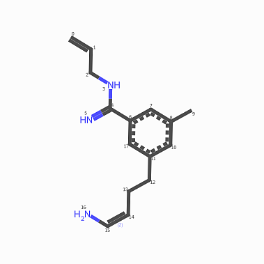 C=CCNC(=N)c1cc(C)cc(CC/C=C\N)c1